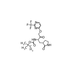 CC(C)(C)OC(=O)NC(CC1CCNC1=O)C(=O)COc1ccnc(C(F)(F)F)n1